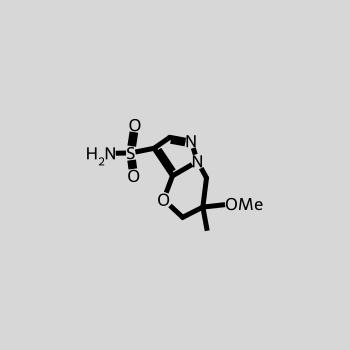 COC1(C)COc2c(S(N)(=O)=O)cnn2C1